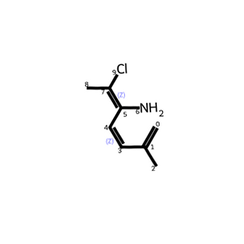 C=C(C)/C=C\C(N)=C(/C)Cl